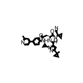 Cc1cc(-c2ccc3nc(C[C@H](NC(=O)c4cc(C5(C)CC5)nn4C4CC4)C(=O)NC4(C#N)CC4)oc3c2)ccn1